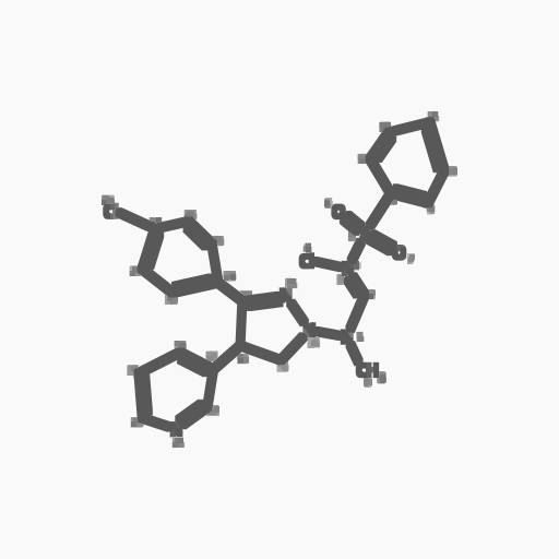 CN(C=[N+](Cl)S(=O)(=O)c1ccccc1)N1CC(c2cccnc2)C(c2ccc(Cl)cc2)=N1